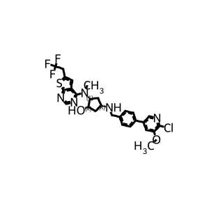 COc1cc(-c2ccc(CN[C@H]3C[C@@H](O)[C@@H](N(C)c4ncnc5sc(CC(F)(F)F)cc45)C3)cc2)cnc1Cl